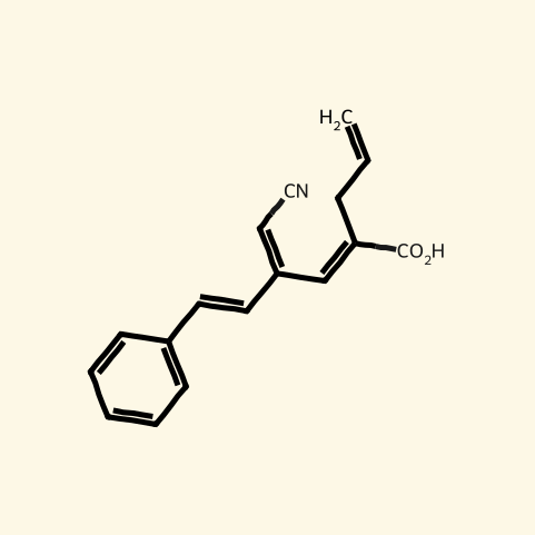 C=CCC(=CC(C=Cc1ccccc1)=CC#N)C(=O)O